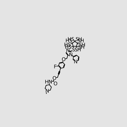 CN1CCC(NC(=O)OCC#Cc2ccc(OCc3cnc(SC4(S)C(S)(S)C(S)(S)C(S)(S)C4(S)S)n3-c3cccnc3)cc2F)CC1